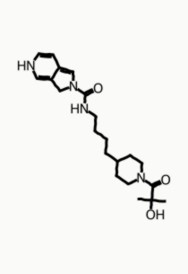 CC(C)(O)C(=O)N1CCC(CCCCNC(=O)N2C=C3C=CNC=C3C2)CC1